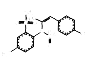 C/C(=C/c1ccc(Cl)cc1)N(c1ccc(C)cc1S(N)(=O)=O)[SH](=O)=O